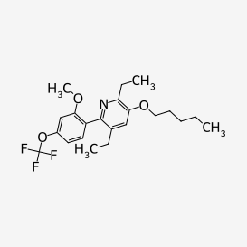 CCCCCOc1cc(CC)c(-c2ccc(OC(F)(F)F)cc2OC)nc1CC